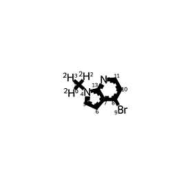 [2H]C([2H])([2H])n1ccc2c(Br)ccnc21